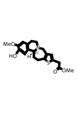 COC(=O)Cc1cc2c(s1)CC[C@H]1c3cc(O)c(OC)cc3CCN1C2